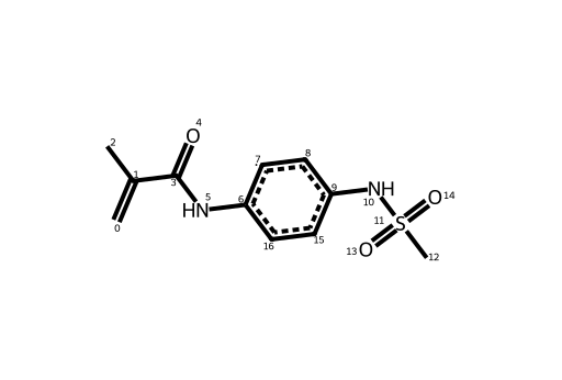 C=C(C)C(=O)Nc1[c]cc(NS(C)(=O)=O)cc1